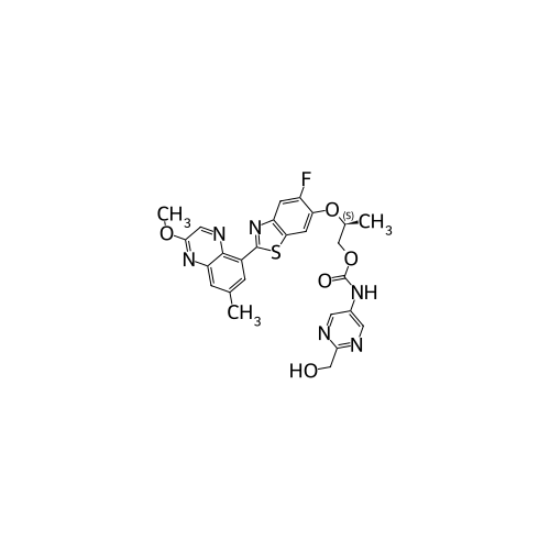 COc1cnc2c(-c3nc4cc(F)c(O[C@@H](C)COC(=O)Nc5cnc(CO)nc5)cc4s3)cc(C)cc2n1